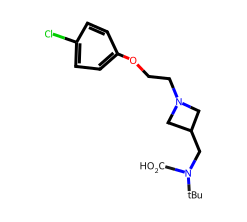 CC(C)(C)N(CC1CN(CCOc2ccc(Cl)cc2)C1)C(=O)O